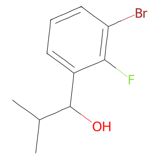 CC(C)C(O)c1cccc(Br)c1F